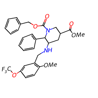 COC(=O)C1CC(NCc2cc(OC(F)(F)F)ccc2OC)C(c2ccccc2)N(C(=O)OCc2ccccc2)C1